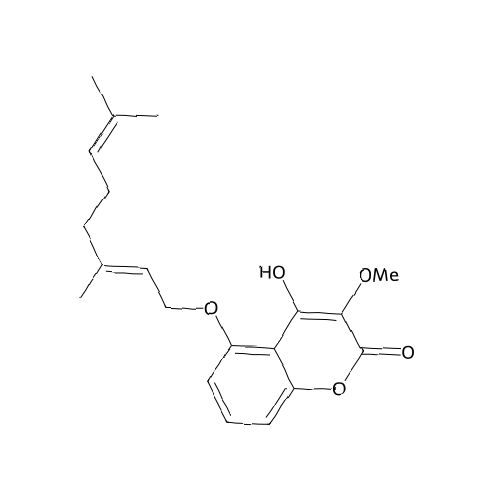 COc1c(O)c2c(OC/C=C(\C)CCC=C(C)C)cccc2oc1=O